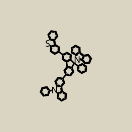 c1ccc(-n2c3ccccc3c3cc(-c4ccc5c(c4)-c4cc(-c6ccc7sc8ccccc8c7c6)ccc4C5(c4ccccc4)n4c5ccccc5c5ccccc54)ccc32)cc1